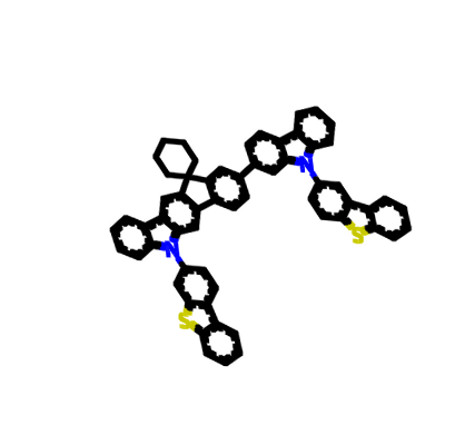 c1ccc2c(c1)sc1cc(-n3c4ccccc4c4cc5c(cc43)-c3ccc(-c4ccc6c7ccccc7n(-c7ccc8sc9ccccc9c8c7)c6c4)cc3C53CCCCC3)ccc12